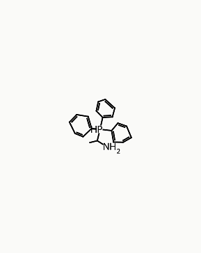 CC(N)[PH](c1ccccc1)(c1ccccc1)c1ccccc1